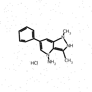 CC1=C2C(=CC(c3ccccc3)=CN2N)N(C)N1.Cl